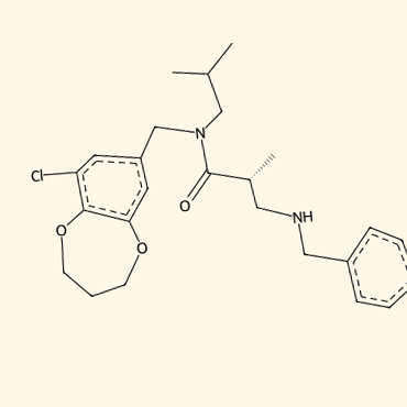 CC(C)CN(Cc1cc(Cl)c2c(c1)OCCCO2)C(=O)[C@H](C)CNCc1ccccc1